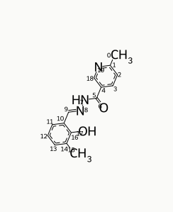 Cc1ccc(C(=O)NN=Cc2cccc(C)c2O)cn1